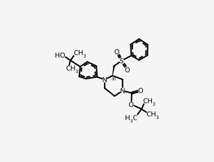 CC(C)(C)OC(=O)N1CCN(c2ccc(C(C)(C)O)cc2)[C@@H](CS(=O)(=O)c2ccccc2)C1